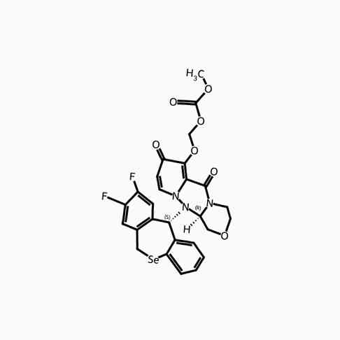 COC(=O)OCOc1c2n(ccc1=O)N([C@H]1c3cc(F)c(F)cc3C[Se]c3ccccc31)[C@@H]1COCCN1C2=O